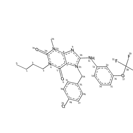 CCCCn1c(=O)c2c(nc(Nc3cccc(OC(F)(F)F)c3)n2Cc2ccc(Cl)cc2)n(C)c1=O